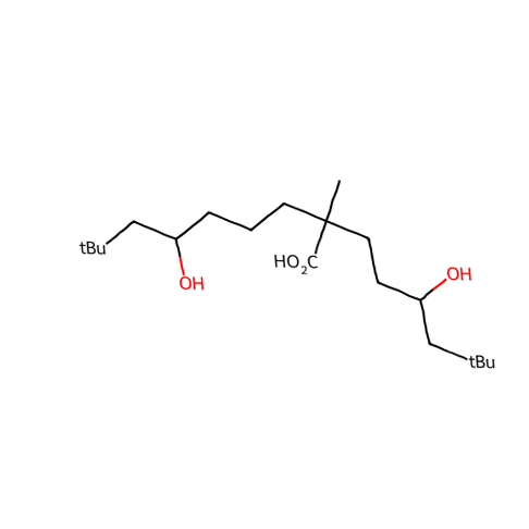 CC(C)(C)CC(O)CCCC(C)(CCC(O)CC(C)(C)C)C(=O)O